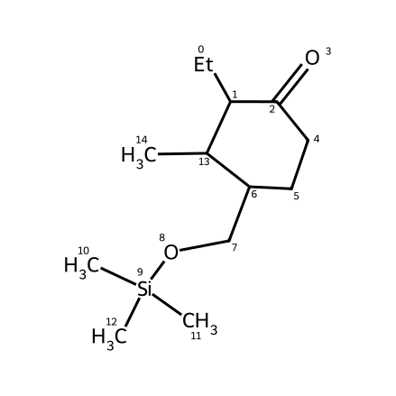 CCC1C(=O)CCC(CO[Si](C)(C)C)C1C